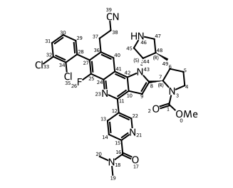 COC(=O)N1CCC[C@@H]1c1cc2c(-c3ccc(C(=O)N(C)C)nc3)nc3c(F)c(-c4cccc(Cl)c4Cl)c(CCC#N)cc3c2n1[C@@H]1CNC[C@H]1C